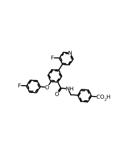 O=C(O)c1ccc(CNC(=O)c2cc(-c3ccncc3F)ccc2Oc2ccc(F)cc2)cc1